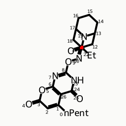 CCCCCc1cc(=O)oc2nc(ON=C3CC4CCCC(C3)N4C(=O)CC)[nH]c(=O)c12